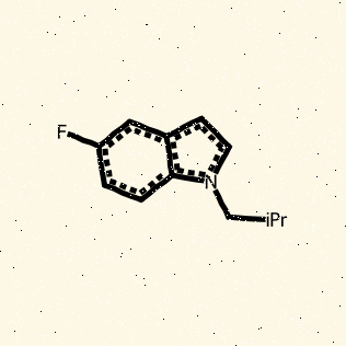 CC(C)Cn1ccc2cc(F)ccc21